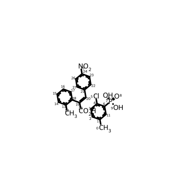 Cc1ccc(Cl)c(P(=O)(O)O)c1.Cc1ccccc1/C(=C\c1ccc([N+](=O)[O-])cc1)C(=O)O